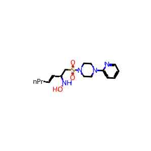 CCCC=CC(CS(=O)(=O)N1CCN(c2ccccn2)CC1)NO